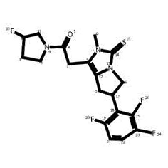 Cn1c(CC(=O)N2CCC(F)C2)c2n(c1=S)CC(c1c(F)ccc(F)c1F)C2